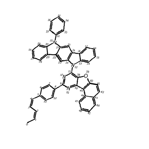 C/C=C\C=C/c1ccc(-c2nc(-n3c4ccccc4c4cc5c(cc43)c3ccccc3n5-c3ccccc3)c3oc4ccc5ccccc5c4c3n2)cc1